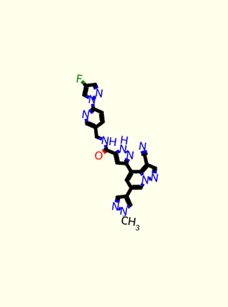 Cn1cc(-c2cc(-c3cc(C(=O)NCc4ccc(-n5cc(F)cn5)nc4)[nH]n3)c3c(C#N)cnn3c2)cn1